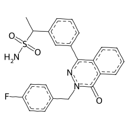 CC(c1cccc(-c2nn(Cc3ccc(F)cc3)c(=O)c3ccccc23)c1)S(N)(=O)=O